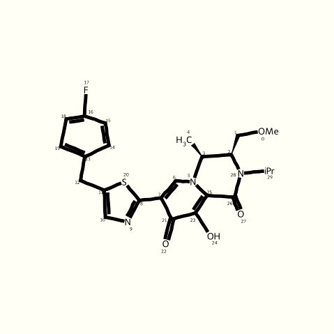 COC[C@@H]1[C@H](C)n2cc(-c3ncc(Cc4ccc(F)cc4)s3)c(=O)c(O)c2C(=O)N1C(C)C